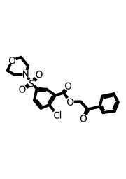 O=C(COC(=O)c1cc(S(=O)(=O)N2CCOCC2)ccc1Cl)c1ccccc1